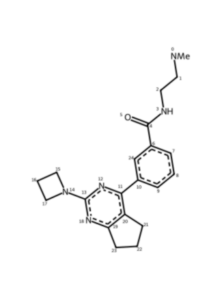 CNCCNC(=O)c1cccc(-c2nc(N3CCC3)nc3c2CCC3)c1